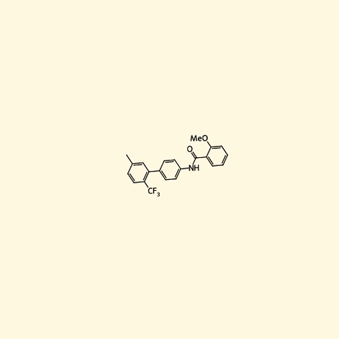 COc1ccccc1C(=O)Nc1ccc(-c2cc(C)ccc2C(F)(F)F)cc1